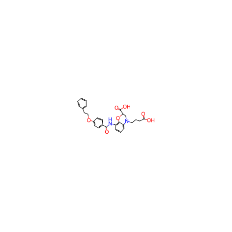 O=C(O)CCCN1CC(C(=O)O)Oc2c(NC(=O)c3ccc(OCCc4ccccc4)cc3)cccc21